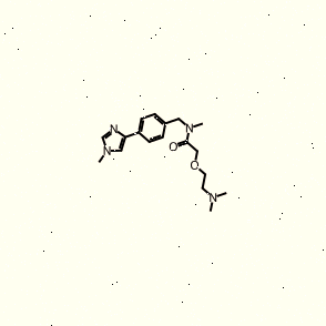 CN(C)CCOCC(=O)N(C)Cc1ccc(-c2cn(C)cn2)cc1